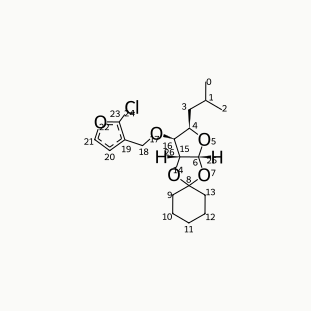 CC(C)C[C@H]1O[C@@H]2OC3(CCCCC3)O[C@@H]2[C@H]1OCc1ccoc1Cl